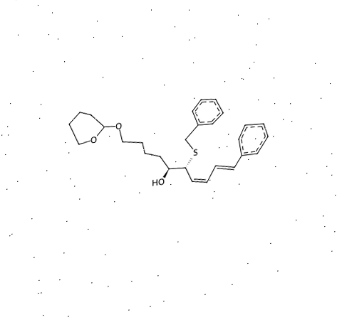 O[C@@H](CCCCOC1CCCCO1)[C@@H](/C=C\C=C\c1ccccc1)SCc1ccccc1